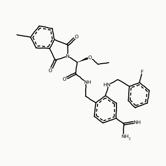 CCO[C@@H](C(=O)NCc1ccc(C(=N)N)cc1NCc1ccccc1F)N1C(=O)c2ccc(C)cc2C1=O